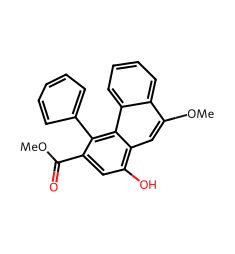 COC(=O)c1cc(O)c2cc(OC)c3ccccc3c2c1-c1ccccc1